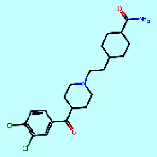 NC(=O)C1CCC(CCN2CCC(C(=O)c3ccc(Cl)c(Cl)c3)CC2)CC1